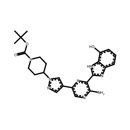 CC(C)(C)OC(=O)N1CCC(n2cc(-c3cnc(N)c(-c4nc5cccc(O)c5[nH]4)n3)cn2)CC1